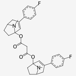 CN1C2CCC1(OC(=O)CC(=O)OC13C=C(c4ccc(F)cc4)CC(CC1)N3C)C=C(c1ccc(F)cc1)C2